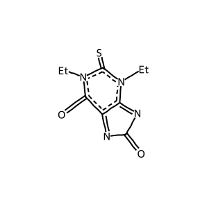 CCn1c(=O)c2c(n(CC)c1=S)=NC(=O)N=2